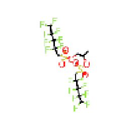 CC(COS(=O)(=O)CC(F)(F)C(F)(F)C(F)(F)C(F)F)OS(=O)(=O)CC(F)(F)C(F)(F)C(F)(F)C(F)F